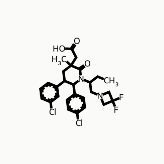 CCC(CN1CC(F)(F)C1)N1C(=O)C(C)(CC(=O)O)CC(c2cccc(Cl)c2)C1c1ccc(Cl)cc1